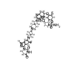 COC1CCN(S(N)(=O)=O)C1c1ccc(F)c(Oc2ccc3ncc(C4CC5(CCN(C6CC7(C6)CN(c6cc8c(cc6F)c(N6CCC(=O)NC6=O)nn8C)C7)CC5)C4)nc3c2)c1C#N